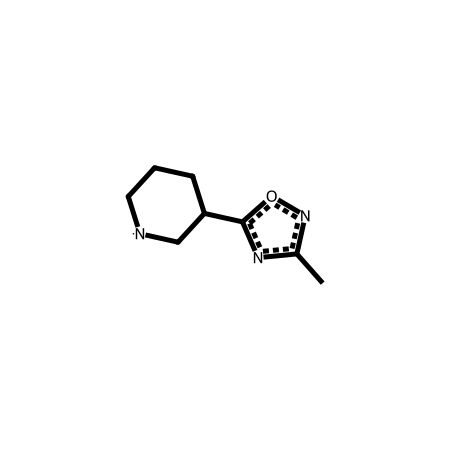 Cc1noc(C2CCC[N]C2)n1